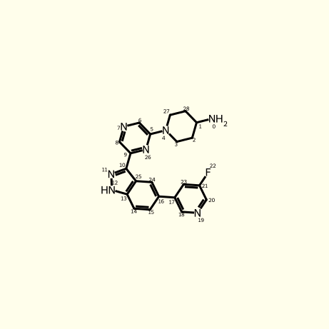 NC1CCN(c2cncc(-c3n[nH]c4ccc(-c5cncc(F)c5)cc34)n2)CC1